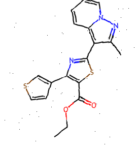 CCOC(=O)c1sc(-c2c(C)nn3ccccc23)nc1-c1ccsc1